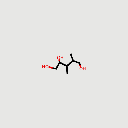 C[C](CO)C(C)C(O)CO